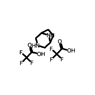 C1CC2CNCC1N2.O=C(O)C(F)(F)F.O=C(O)C(F)(F)F